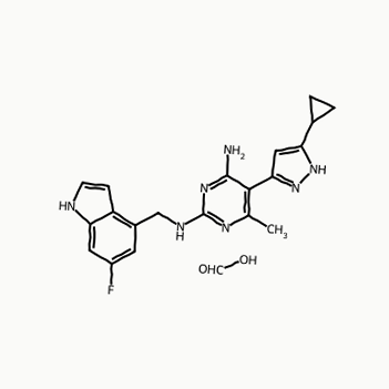 Cc1nc(NCc2cc(F)cc3[nH]ccc23)nc(N)c1-c1cc(C2CC2)[nH]n1.O=CO